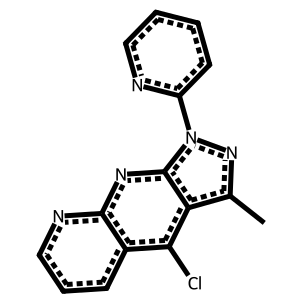 Cc1nn(-c2ccccn2)c2nc3ncccc3c(Cl)c12